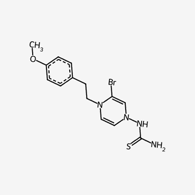 COc1ccc(CCN2C=CN(NC(N)=S)C=C2Br)cc1